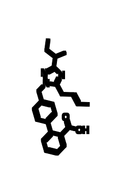 CC=CCc1nc(C(C)CC)nn1Cc1ccc(-c2ccccc2C(=O)O)cc1